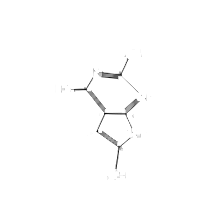 Oc1nc(S)nc2[nH]c(S)cc12